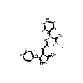 CC(=O)N(C=CC=C1C(=O)ON=C1c1ccccc1)c1ccccc1